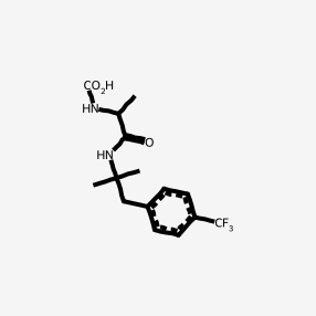 CC(NC(=O)O)C(=O)NC(C)(C)Cc1ccc(C(F)(F)F)cc1